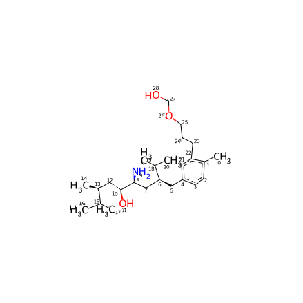 Cc1ccc(C[C@@H](C[C@H](N)[C@@H](O)C[C@H](C)C(C)C)C(C)C)cc1CCCOCO